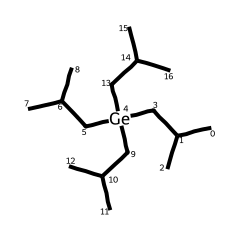 CC(C)[CH2][Ge]([CH2]C(C)C)([CH2]C(C)C)[CH2]C(C)C